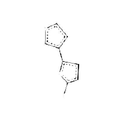 Ic1ccc(-c2[c]scc2)s1